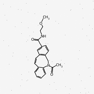 COCCNC(=O)c1ccc2c(c1)C=Cc1ccccc1N(C(C)=O)C2